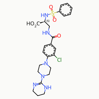 O=C(NC[C@H](NS(=O)(=O)c1ccccc1)C(=O)O)c1ccc(N2CCN(C3=NCCCN3)CC2)c(Cl)c1